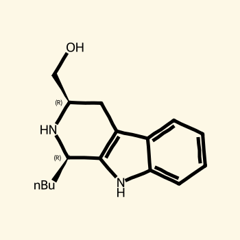 CCCC[C@H]1N[C@@H](CO)Cc2c1[nH]c1ccccc21